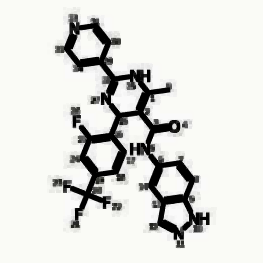 CC1=C(C(=O)Nc2ccc3[nH]ncc3c2)C(c2ccc(C(F)(F)F)cc2F)N=C(c2ccncc2)N1